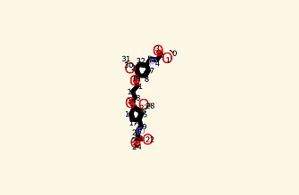 COC(=O)/C=C/c1ccc(OCCCOc2ccc(/C=C/C(=O)OC)cc2OC)c(OC)c1